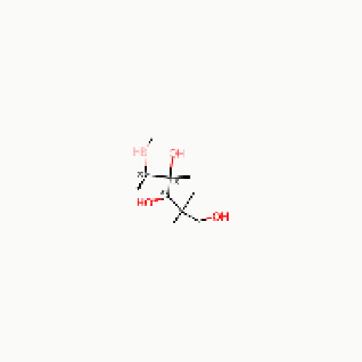 CB[C@H](C)[C@](C)(O)[C@H](O)C(C)(C)CO